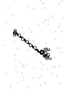 CC(C)(C)OC(=O)Oc1c(C(C)(C)C)cc(CCCOCCOCCOCCOCCOCCS(C)(=O)=O)cc1C(C)(C)C